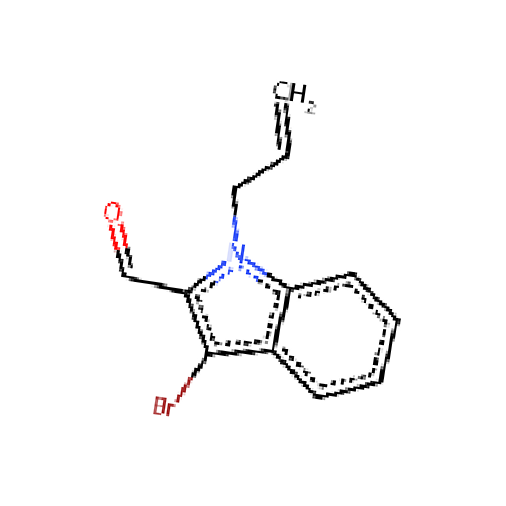 C=CCn1c(C=O)c(Br)c2ccccc21